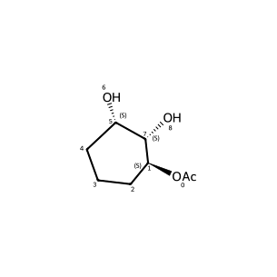 CC(=O)O[C@H]1CCC[C@H](O)[C@@H]1O